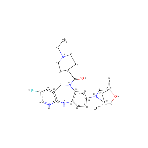 O=C(C1CCN(CC(F)(F)F)CC1)N1Cc2cc(F)cnc2Nc2ccc(N3C[C@@H]4C[C@H]3CO4)cc21